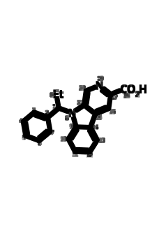 CCC(c1ccccc1)n1c2ccccc2c2cc(C(=O)O)ncc21